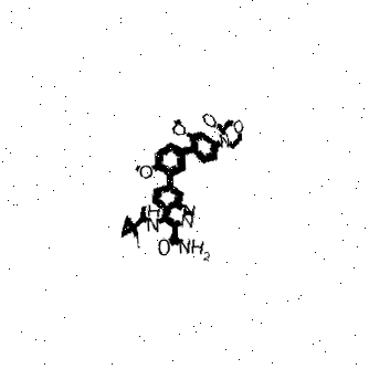 COc1cc(N2CCOCC2=O)ccc1-c1ccc(OC)c(-c2ccc3c(NC(C)C4(I)CC4)c(C(N)=O)nnc3c2)c1